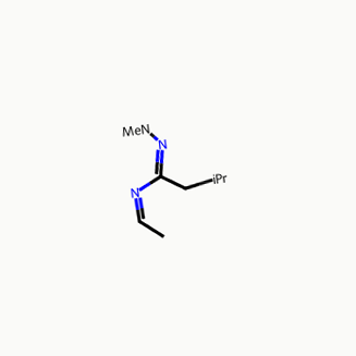 C/C=N\C(CC(C)C)=N/NC